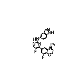 CC(C)N1CCOc2c(F)cc(-c3nc(Nc4ccc5[nH]ncc5c4)ncc3F)cc21